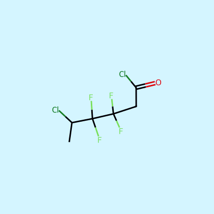 CC(Cl)C(F)(F)C(F)(F)CC(=O)Cl